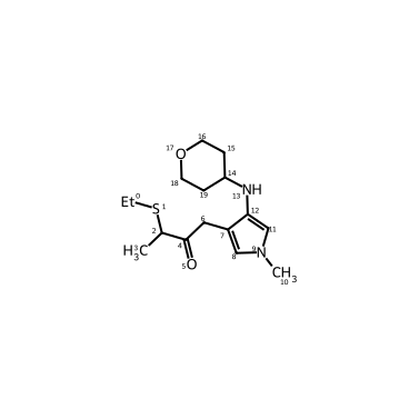 CCSC(C)C(=O)Cc1cn(C)cc1NC1CCOCC1